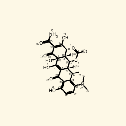 CCC(=O)O[C@H]1[C@H]2C(=C(O)[C@]3(O)C(=O)C(C(N)=O)=C(O)C[C@H]13)C(=O)c1c(O)ccc(N(C)C)c1[C@@H]2C